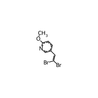 COc1ccc(C=C(Br)Br)cn1